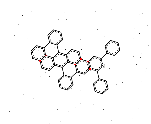 c1ccc(-c2cc(-c3ccc4c(-c5ccccc5-c5ccccc5)c5ccccc5c(-c5ccccc5-c5ccccc5)c4c3)nc(-c3ccccc3)n2)cc1